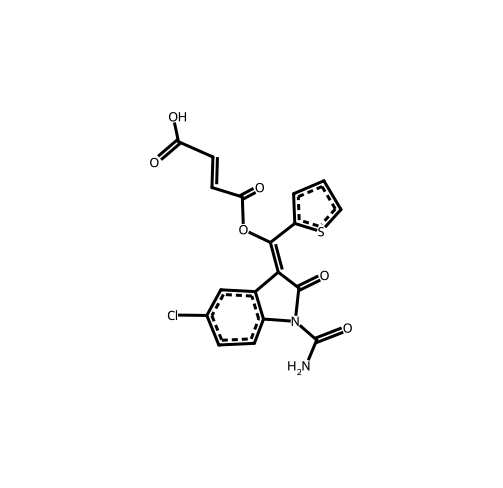 NC(=O)N1C(=O)/C(=C(/OC(=O)/C=C/C(=O)O)c2cccs2)c2cc(Cl)ccc21